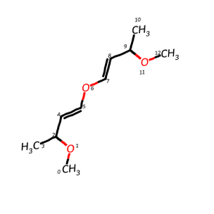 COC(C)/C=C/O/C=C/C(C)OC